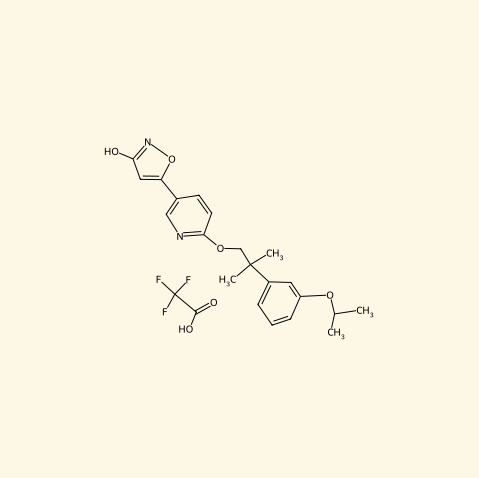 CC(C)Oc1cccc(C(C)(C)COc2ccc(-c3cc(O)no3)cn2)c1.O=C(O)C(F)(F)F